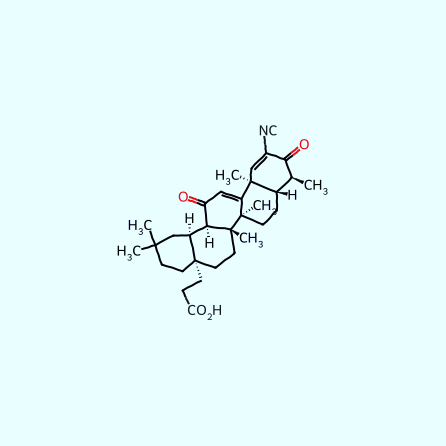 [C-]#[N+]C1=C[C@]2(C)C3=CC(=O)[C@@H]4[C@@H]5CC(C)(C)CC[C@]5(CCC(=O)O)CC[C@@]4(C)[C@]3(C)CC[C@H]2[C@H](C)C1=O